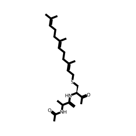 C=C(N[C@@H](CSC/C=C(\C)CC/C=C(\C)CCC=C(C)C)C(C)=O)C(C)NC(C)=O